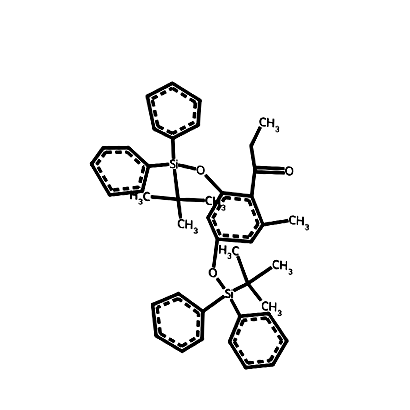 CCC(=O)c1c(C)cc(O[Si](c2ccccc2)(c2ccccc2)C(C)(C)C)cc1O[Si](c1ccccc1)(c1ccccc1)C(C)(C)C